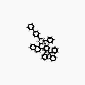 c1ccc(-c2ccc(C3=NC(c4c(-c5cccc6c5-c5ccccc5C6(c5ccccc5)c5ccccc5)ccc5ccccc45)NC(c4ccccc4)N3)cc2)cc1